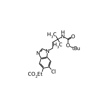 CCOC(=O)c1cc2ncn(CCC(C)(C)NC(=O)OC(C)(C)C)c2cc1Cl